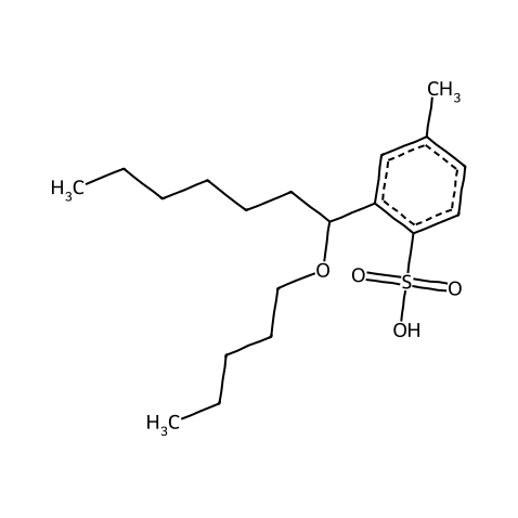 CCCCCCC(OCCCCC)c1cc(C)ccc1S(=O)(=O)O